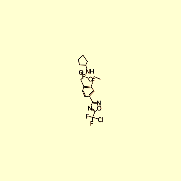 CCOP(=O)(Cc1ccc(-c2noc(C(F)(F)Cl)n2)cc1F)NC1CCCC1